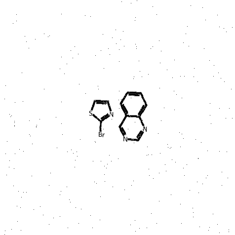 Brc1nccs1.c1ccc2ncncc2c1